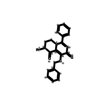 CC(C)N1CCn2c(-c3ccccn3)nc(=O)c(OCc3ccccc3)c2C1=O